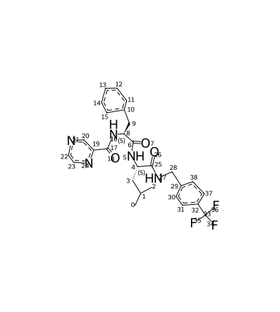 CC(C)C[C@H](NC(=O)[C@H](Cc1ccccc1)NC(=O)c1cnccn1)C(=O)NCc1ccc(C(F)(F)F)cc1